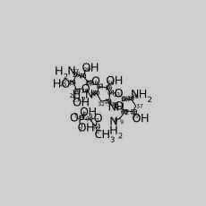 C[C@@H]1O[C@@H]1P(=O)(O)O.NC[C@H]1O[C@H](O[C@H]2[C@H](O)[C@@H](O[C@H]3O[C@H](CO)[C@@H](O)[C@H](N)[C@H]3O)[C@H](N)C[C@@H]2N)[C@H](N)C[C@@H]1O